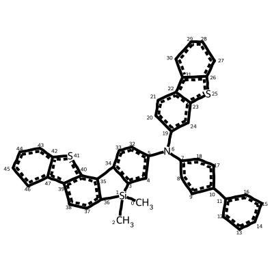 C[Si]1(C)c2cc(N(c3ccc(-c4ccccc4)cc3)c3ccc4c(c3)sc3ccccc34)ccc2-c2c1ccc1c2sc2ccccc21